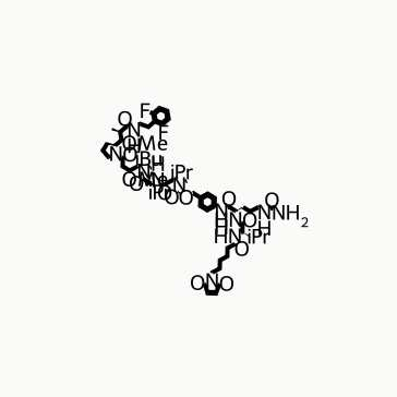 CC[C@H](C)[C@@H]([C@@H](CC(=O)N1CCC[C@H]1[C@H](OC)[C@@H](C)C(=O)NCCc1c(F)cccc1F)OC)N(C)C(=O)[C@@H](NC(=O)[C@H](C(C)C)N(C)C(=O)OCc1ccc(NC(=O)[C@H](CCCNC(N)=O)NC(=O)[C@@H](NC(=O)CCCCCN2C(=O)C=CC2=O)C(C)C)cc1)C(C)C